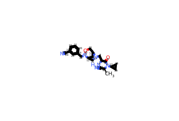 C[C@@H](C#N)N(C(=O)C(N)CN1CC2CC1CON2Cc1cccc(C#N)c1)C1CC1